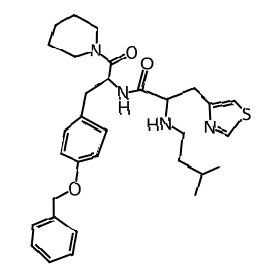 CC(C)CCNC(Cc1cscn1)C(=O)NC(Cc1ccc(OCc2ccccc2)cc1)C(=O)N1CCCCC1